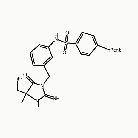 CCCCCc1ccc(S(=O)(=O)Nc2cccc(CN3C(=N)NC(C)(CC(C)C)C3=O)c2)cc1